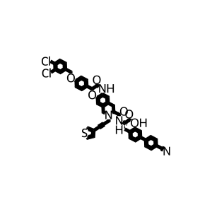 N#Cc1ccc(-c2ccc(C[C@H](NC(=O)C3Cc4cc5c(cc4CN3CC#Cc3ccsc3)OC(c3ccc(OCc4ccc(Cl)c(Cl)c4)cc3)C(=O)N5)C(=O)O)cc2)cc1